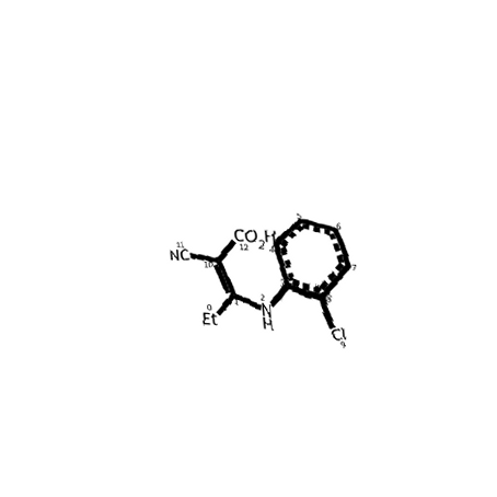 CCC(Nc1ccccc1Cl)=C(C#N)C(=O)O